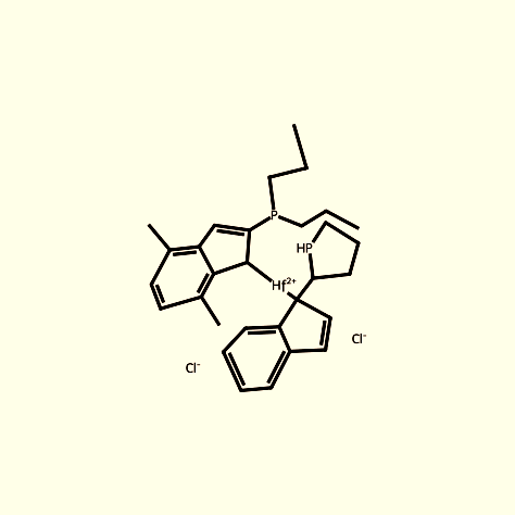 CCCP(CCC)C1=Cc2c(C)ccc(C)c2[CH]1[Hf+2][C]1(C2CCCP2)C=Cc2ccccc21.[Cl-].[Cl-]